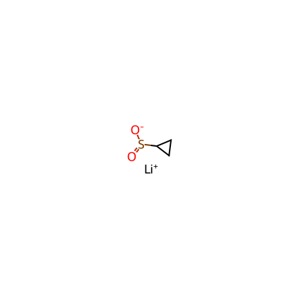 O=S([O-])C1CC1.[Li+]